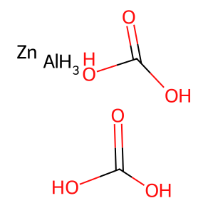 O=C(O)O.O=C(O)O.[AlH3].[Zn]